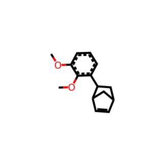 COc1cccc(C2CC3C=CC2C3)c1OC